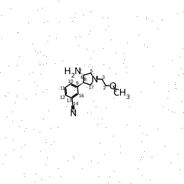 COCCN1C[C@@H](N)[C@H](c2cccc(C#N)c2)C1